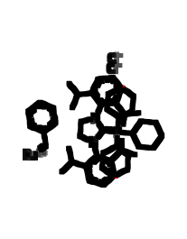 CC(C)c1cccc(C(C)C)c1N1CCN(c2c(C(C)C)cccc2C(C)C)C1=P(C1CCCCC1)(C1CCCCC1)C1CCCCC1.[Cl-].[Cl-].[Ru+2]=[CH]c1ccccc1